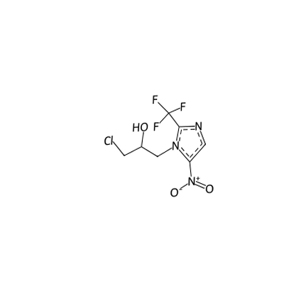 O=[N+]([O-])c1cnc(C(F)(F)F)n1CC(O)CCl